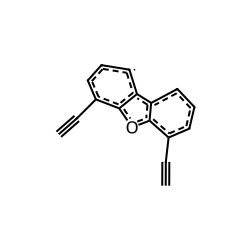 C#Cc1cc[c]c2c1oc1c(C#C)cccc12